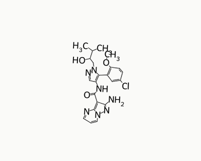 COc1ccc(Cl)cc1-c1c(NC(=O)c2c(N)nn3cccnc23)cnn1CC(O)C(C)C